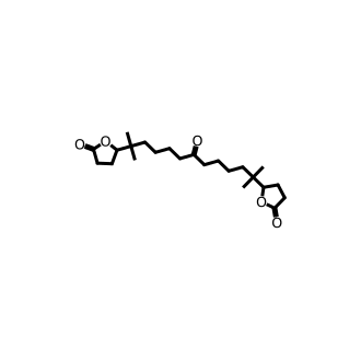 CC(C)(CCCCC(=O)CCCCC(C)(C)C1CCC(=O)O1)C1CCC(=O)O1